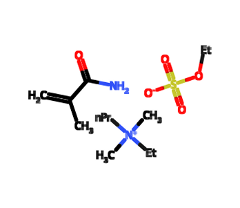 C=C(C)C(N)=O.CCC[N+](C)(C)CC.CCOS(=O)(=O)[O-]